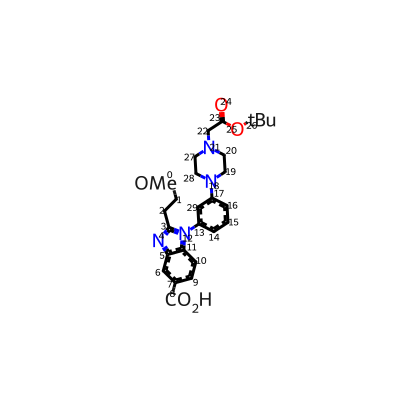 COCCc1nc2cc(C(=O)O)ccc2n1-c1cccc(N2CCN(CC(=O)OC(C)(C)C)CC2)c1